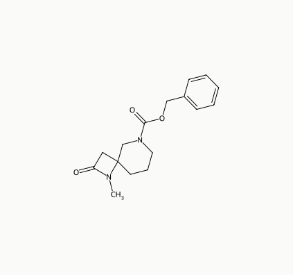 CN1C(=O)CC12CCCN(C(=O)OCc1ccccc1)C2